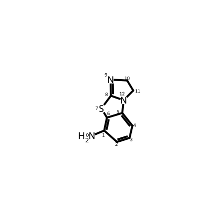 Nc1cccc2c1SC1=NCCN12